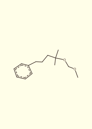 COCOC(C)(C)CCCc1ccccc1